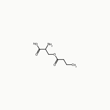 CCCC(=O)OCC(N)C(=O)O